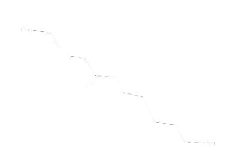 CC(C)(C)CCCCCOC(=O)COCC(C)(C)C